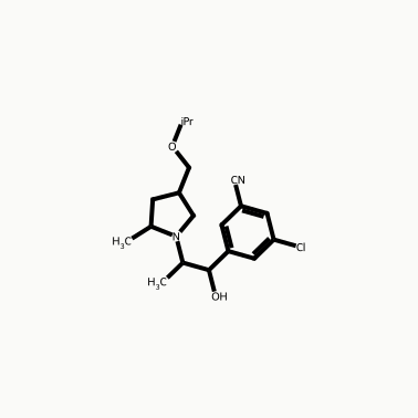 CC(C)OCC1CC(C)N(C(C)C(O)c2cc(Cl)cc(C#N)c2)C1